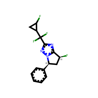 FC1CC1C(F)(F)c1nc2n(n1)[C@H](c1ccccc1)C[C@@H]2F